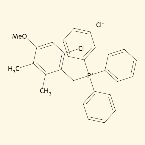 COc1cc(Cl)c(C[P+](c2ccccc2)(c2ccccc2)c2ccccc2)c(C)c1C.[Cl-]